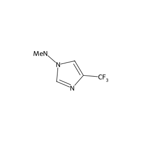 CNn1cnc(C(F)(F)F)c1